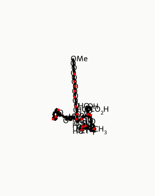 CCC1(O)C(=O)OCc2c1cc1n(c2=O)Cc2c-1nc1cc(F)c(C)c3c1c2C(NC(=O)OCc1ccc(OC2OC(C(=O)O)C(O)C(O)C2O)c(CNC(=O)CCNC(=O)C(CNC(=O)CCOCCOCCOCCOCCOCCOCCOCCOCCOCCOCCOCCOC)NC(=O)C2CCN(C(=O)CCCCC(=O)N4Cc5ccccc5/C=C\c5ccccc54)CC2)c1)CC3